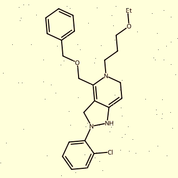 CCOCCCN1CC=C2NN(c3ccccc3Cl)CC2=C1COCc1ccccc1